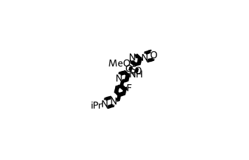 COc1ncc(N2CCOCC2)cc1S(=O)(=O)Nc1ccnc(-c2ccc(CN3CCN(C(C)C)CC3)cc2F)c1